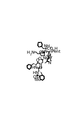 CCCCCC(=O)N(C(=O)[C@](CC(C)C)(CC(O)CCN)NC(=O)[C@H](Cc1c[nH]cn1)NC(=O)[C@H](Cc1ccccc1)NC(=O)[C@H](Cc1ccccc1)NC(=O)OC(C)(C)C)[C@@](N)(Cc1ccccc1)C(=O)O